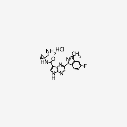 Cl.Cn1nc(-c2cnc3[nH]cc(C(=O)NC4(CN)C=C4)c3n2)c2ccc(F)cc21